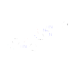 Cc1ccc(NC(=O)c2cccc(C(F)(F)F)c2)cc1-c1cc2cnc(NCCc3cccs3)nc2c(=O)n1C